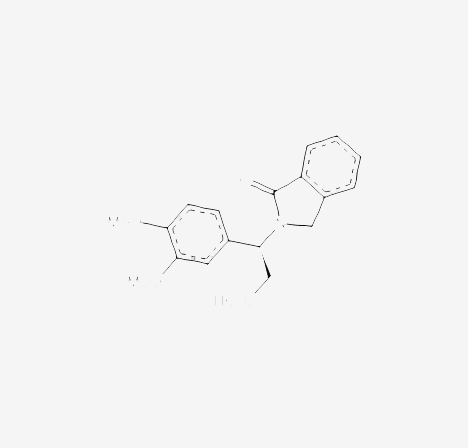 COc1ccc([C@H](CC(=O)O)N2Cc3ccccc3C2=O)cc1OC